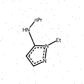 CCCNc1ccnn1CC